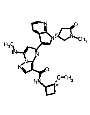 CNc1cc(-c2cn([C@@H]3CC(=O)N(C)C3)c3ncccc23)nc2c(C(=O)NC3CC[C@H]3OC)cnn12